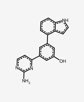 Nc1nccc(-c2cc(O)cc(-c3cccc4[nH]ccc34)c2)n1